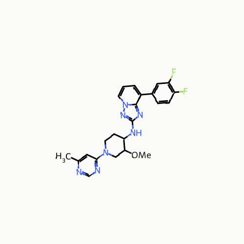 COC1CN(c2cc(C)ncn2)CCC1Nc1nc2c(-c3ccc(F)c(F)c3)cccn2n1